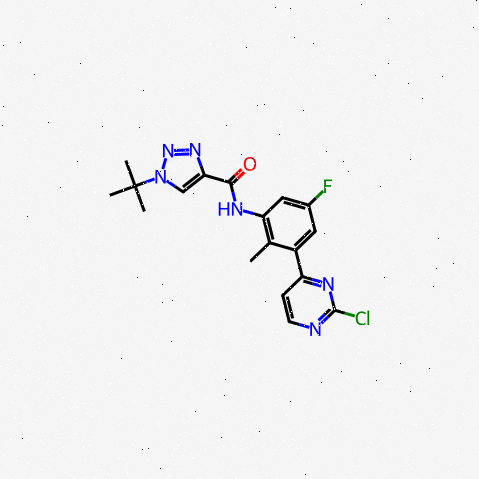 Cc1c(NC(=O)c2cn(C(C)(C)C)nn2)cc(F)cc1-c1ccnc(Cl)n1